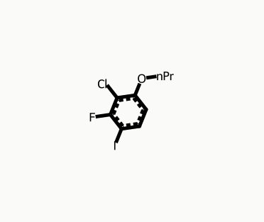 CCCOc1ccc(I)c(F)c1Cl